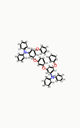 c1ccc(Oc2cc(Oc3cccc(Oc4cc(Oc5ccccc5)cc(N(c5ccccc5)c5ccccc5)c4)c3)cc(N(c3ccccc3)c3ccccc3)c2)cc1